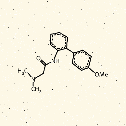 COc1ccc(-c2ccc[c]c2NC(=O)CN(C)C)cc1